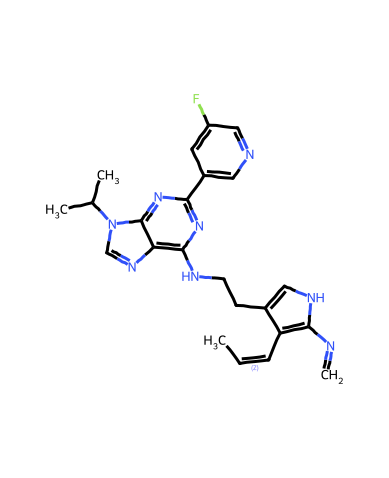 C=Nc1[nH]cc(CCNc2nc(-c3cncc(F)c3)nc3c2ncn3C(C)C)c1/C=C\C